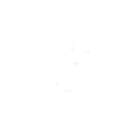 O=C[C@H](C[C@@H]1CCNC1=O)NC(=O)[C@@H](NC(=O)O)C1CCCCC1